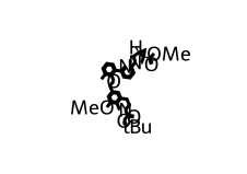 COC(=O)[C@]12C[C@H]1CN(c1cccc(-c3cccc(C)c3OCc3cc4c(c(OC)c3)CN(C(=O)OC(C)(C)C)CC4)n1)C2